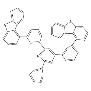 c1ccc(-c2nc(-c3cccc(-c4cccc5sc6ccccc6c45)c3)cc(-c3cccc(-c4cccc5sc6ccccc6c45)c3)n2)cc1